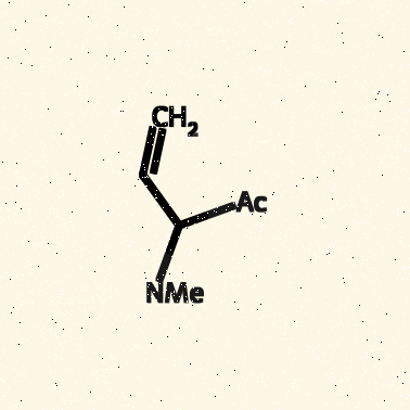 C=CC(NC)C(C)=O